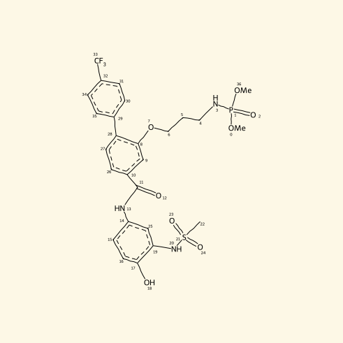 COP(=O)(NCCCOc1cc(C(=O)Nc2ccc(O)c(NS(C)(=O)=O)c2)ccc1-c1ccc(C(F)(F)F)cc1)OC